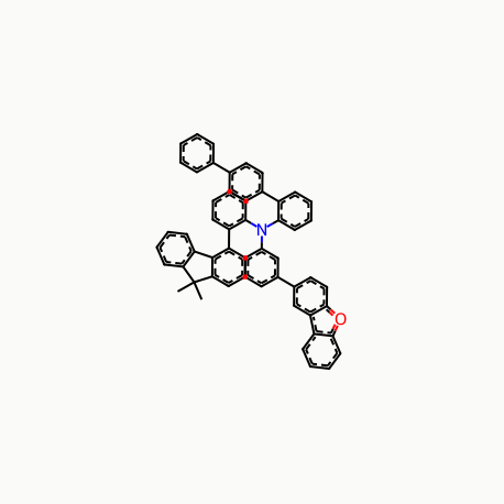 CC1(C)c2ccccc2-c2c(-c3ccccc3N(c3cccc(-c4ccc5oc6ccccc6c5c4)c3)c3ccccc3-c3ccc(-c4ccccc4)cc3)cccc21